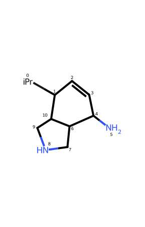 CC(C)C1C=CC(N)C2CNCC12